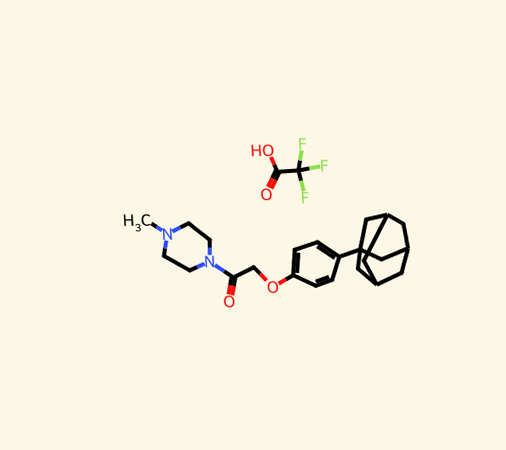 CN1CCN(C(=O)COc2ccc(C34CC5CC(CC(C5)C3)C4)cc2)CC1.O=C(O)C(F)(F)F